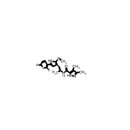 C=Nc1[nH]c(-c2ccc(F)nc2F)cc1/C=C(\C)NC(=O)c1[nH]nc(C)c1C